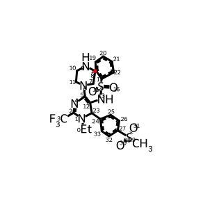 CCN1C(C(F)(F)F)=NC(N2CCNCC2)=C(NS(=O)(=O)c2ccccc2)C1c1ccc(S(C)(=O)=O)cc1